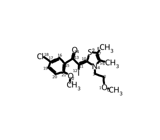 COCCN1C(C)=C(C)SC1=C(I)C(=O)c1cc(Cl)ccc1OC